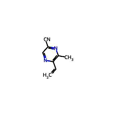 C=Cc1ncc(C#N)nc1C